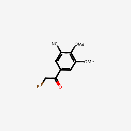 COc1cc(C(=O)CBr)cc(C#N)c1OC